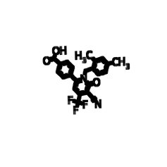 Cc1ccc(Cn2c(-c3ccc(C(=O)O)cc3)cc(C(F)(F)F)c(C#N)c2=O)c(C)c1